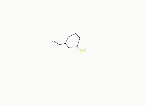 [CH2]CC1CCCC(S)C1